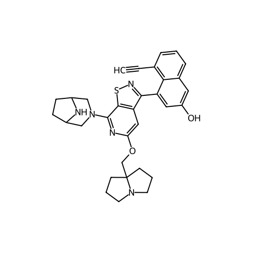 C#Cc1cccc2cc(O)cc(-c3nsc4c(N5CC6CCC(C5)N6)nc(OCC56CCCN5CCC6)cc34)c12